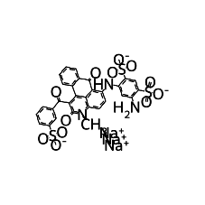 Cn1c(=O)c(C(=O)c2cccc(S(=O)(=O)[O-])c2)c2c3c(c(Nc4cc(N)c(S(=O)(=O)[O-])cc4S(=O)(=O)[O-])ccc31)C(=O)c1ccccc1-2.[Na+].[Na+].[Na+]